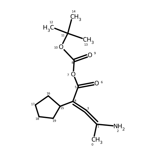 CC(N)=C=C(C(=O)OC(=O)OC(C)(C)C)C1CCCC1